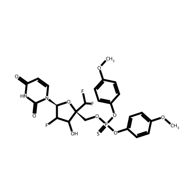 COc1ccc(OP(=S)(OC[C@]2(C(F)F)O[C@H](n3ccc(=O)[nH]c3=O)C(F)C2O)Oc2ccc(OC)cc2)cc1